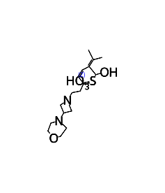 C=C(/C=C\C(=C(C)C)C(O)S(=O)(=O)O)CCN1CC(N2CCOCC2)C1